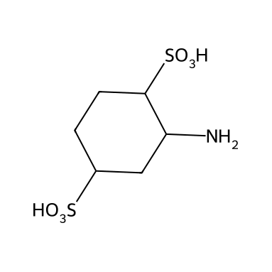 NC1CC(S(=O)(=O)O)CCC1S(=O)(=O)O